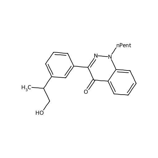 CCCCCn1nc(-c2cccc(C(C)CO)c2)c(=O)c2ccccc21